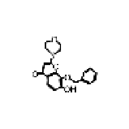 O=c1cc(N2CCOCC2)oc2c(OCc3ccccc3)c(O)ccc12